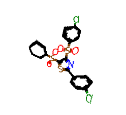 O=S(=O)(c1ccc(Cl)cc1)c1nc(-c2ccc(Cl)cc2)sc1S(=O)(=O)C1CCCCC1